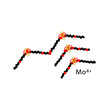 CCCCCCCCCCCCCOP(=S)([S-])OCCCCCCCCCCCCC.CCCCCCCCCCCCCOP(=S)([S-])OCCCCCCCCCCCCC.CCCCCCCCCCCCCOP(=S)([S-])OCCCCCCCCCCCCC.CCCCCCCCCCCCCOP(=S)([S-])OCCCCCCCCCCCCC.[Mo+4]